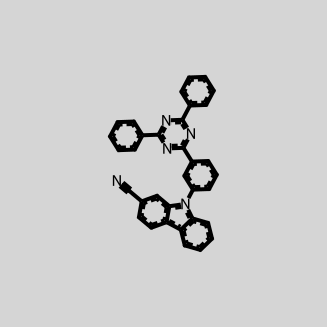 N#Cc1ccc2c3ccccc3n(-c3cccc(-c4nc(-c5ccccc5)nc(-c5ccccc5)n4)c3)c2c1